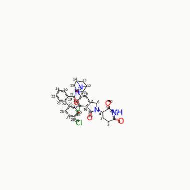 O=C1CCC(N2Cc3cc(CN4C5CC4CN(C(=O)c4ccccc4-c4ccc(Cl)cc4)C5)cc(F)c3C2=O)C(=O)N1